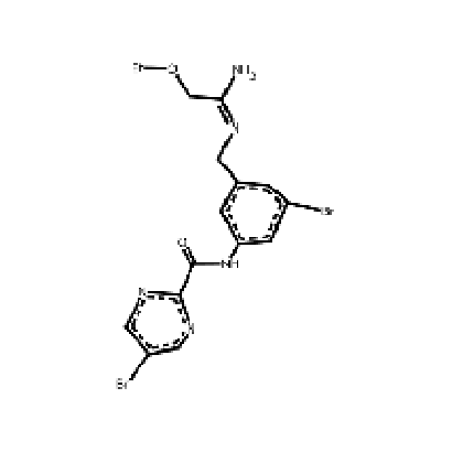 CCOC/C(N)=N\Cc1cc(Br)cc(NC(=O)c2ncc(Br)cn2)c1